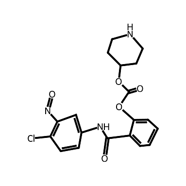 O=Nc1cc(NC(=O)c2ccccc2OC(=O)OC2CCNCC2)ccc1Cl